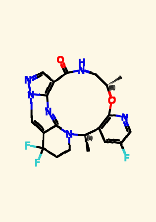 C[C@@H]1c2cc(F)cnc2O[C@@H](C)CNC(=O)c2cnn3cc4c(nc23)N1CCC4(F)F